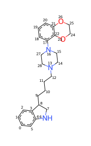 c1ccc2c(c1)NCC2CCCCN1CCN(c2cccc3c2OCCO3)CC1